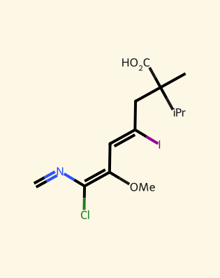 C=N/C(Cl)=C(\C=C(/I)CC(C)(C(=O)O)C(C)C)OC